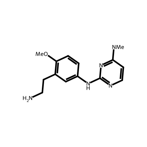 [CH2]Nc1ccnc(Nc2ccc(OC)c(CCN)c2)n1